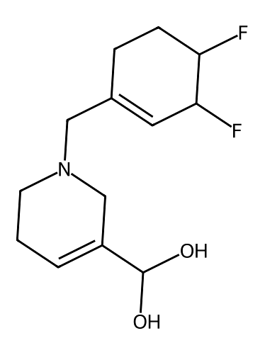 OC(O)C1=CCCN(CC2=CC(F)C(F)CC2)C1